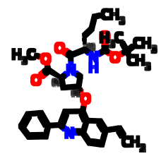 C=Cc1ccc2nc(-c3ccccc3)cc(O[C@@H]3C[C@@H](C(=O)OC)N(C(=O)[C@H](CCCC)NC(=O)OC(C)(C)C)C3)c2c1